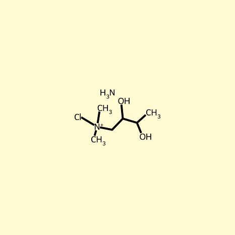 CC(O)C(O)C[N+](C)(C)Cl.N